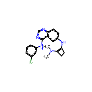 CN(C)C1=C(Nc2ccc3ncnc(Nc4cccc(Br)c4)c3c2)CC1